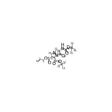 C=CCOC(=O)C1=C(C(=O)OC(C)(C)C)N2C(=O)[C@@H](NC(=O)OC(C)(C)C)CN2C1